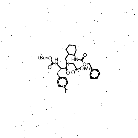 COC(=O)CN(CC1CCCC[C@@H]1NC(=O)OCc1ccccc1)C(=O)[C@H](Cc1ccc(F)cc1)NC(=O)OC(C)(C)C